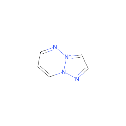 c1cn[n+]2ccnn2c1